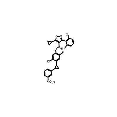 [2H]C(Oc1cc(Cl)c(C2CC2c2cccc(C(=O)O)c2)cc1F)c1c(-c2c(Cl)cccc2Cl)noc1C1CC1